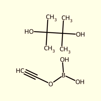 C#COB(O)O.CC(C)(O)C(C)(C)O